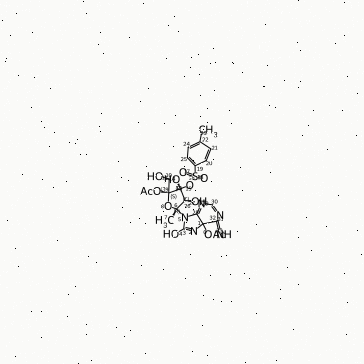 CC(=O)OC12N=C(O)N([C@]3(C)O[C@@](CO)(OC(C)=O)[C@](O)(OS(=O)(=O)c4ccc(C)cc4)[C@H]3O)C1=NC=NC2=N